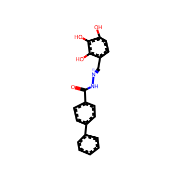 O=C(N/N=C/c1ccc(O)c(O)c1O)c1ccc(-c2ccccc2)cc1